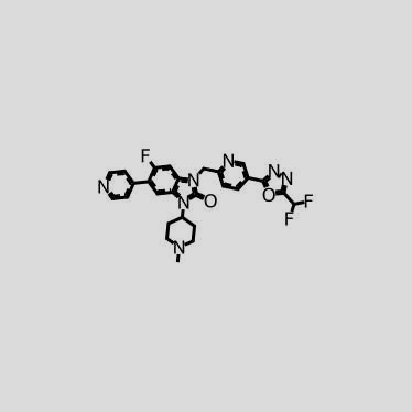 CN1CCC(n2c(=O)n(Cc3ccc(-c4nnc(C(F)F)o4)cn3)c3cc(F)c(-c4ccncc4)cc32)CC1